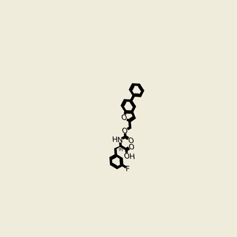 O=C(N[C@H](Cc1cccc(F)c1)C(=O)O)OCc1cc2cc(-c3ccccc3)ccc2o1